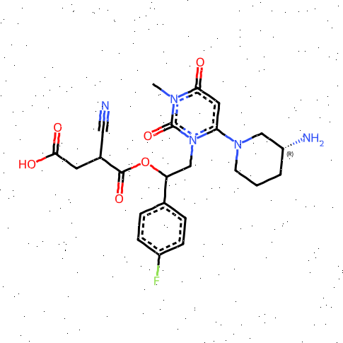 Cn1c(=O)cc(N2CCC[C@@H](N)C2)n(CC(OC(=O)C(C#N)CC(=O)O)c2ccc(F)cc2)c1=O